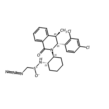 C[C@@H]1c2ccccc2C(=O)N([C@H]2CCCC[C@@H]2N[S+]([O-])CN=[N+]=[N-])[C@H]1c1ccc(Cl)cc1Cl